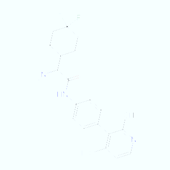 Cc1nccc(C(F)(F)F)c1-c1ccc(NC(=O)C(N)C2CCC(F)(F)CC2)cc1